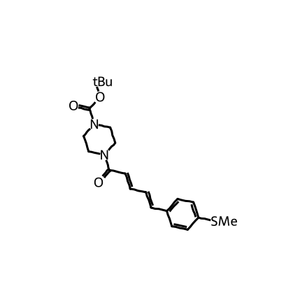 CSc1ccc(/C=C/C=C/C(=O)N2CCN(C(=O)OC(C)(C)C)CC2)cc1